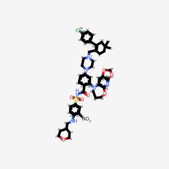 CC1(C)CCC(CN2CCN(c3ccc(C(=O)NS(=O)(=O)c4ccc(NCC5CCOCC5)c([N+](=O)[O-])c4)c(N4CCCOc5nc6c(cc54)OCO6)c3)CC2)=C(c2ccc(Cl)cc2)C1